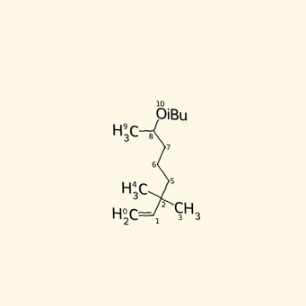 C=CC(C)(C)CCCC(C)OCC(C)C